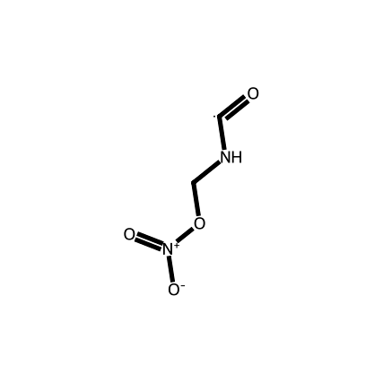 O=[C]NCO[N+](=O)[O-]